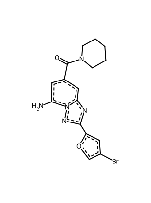 Nc1cc(C(=O)N2CCCCC2)cc2nc(-c3cc(Br)co3)nn12